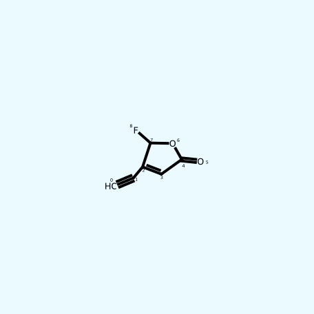 C#CC1=CC(=O)OC1F